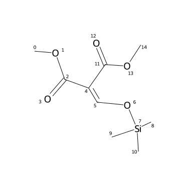 COC(=O)C(=CO[Si](C)(C)C)C(=O)OC